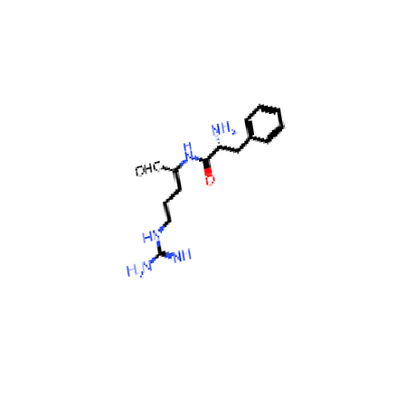 N=C(N)NCCC[C@@H](C=O)NC(=O)[C@H](N)Cc1ccccc1